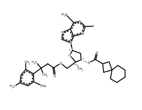 CC(=O)Oc1cc(C)cc(C)c1C(C)(C)CC(=O)OC[C@@]1(C)O[C@@H](n2cnc3c(N)nc(F)nc32)C[C@@H]1OC(=O)C1CC2(CCCCC2)C1